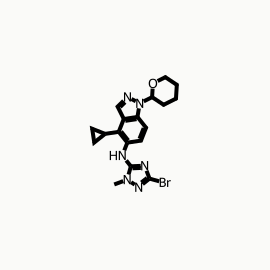 Cn1nc(Br)nc1Nc1ccc2c(cnn2C2CCCCO2)c1C1CC1